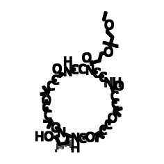 CCOCCC(C)(C)OCCC(=O)N1CCNC(=O)CCC(C)(C)OCCC(C)(C)OCNC2[C@H](C)[C@H](C)C(O)N2OC(C)(C)CCOC(C)(C)CCC(=O)NCC1